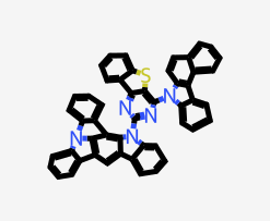 c1ccc2c(c1)ccc1c2c2ccccc2n1-c1nc(-n2c3ccccc3c3cc4c5ccccc5n5c6ccccc6c(c32)c45)nc2c1sc1ccccc12